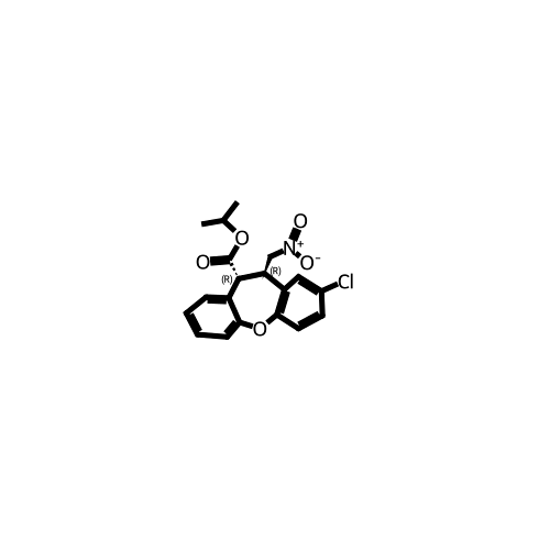 CC(C)OC(=O)[C@H]1c2ccccc2Oc2ccc(Cl)cc2[C@@H]1C[N+](=O)[O-]